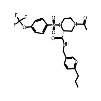 CCCc1ccc(CNC(=O)[C@H]2CN(C(C)=O)CCN2S(=O)(=O)c2ccc(OC(F)(F)F)cc2)cn1